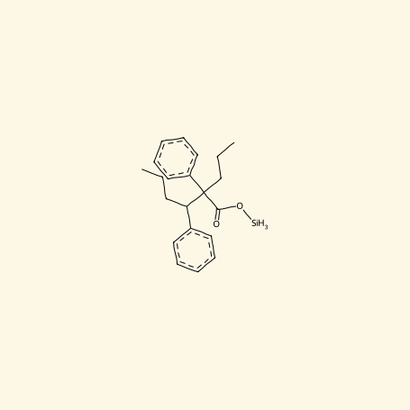 CCCC(c1ccccc1)C(CCC)(C(=O)O[SiH3])c1ccccc1